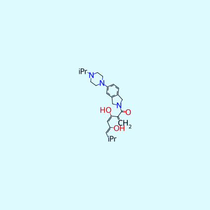 C=C(C(=O)N1Cc2ccc(N3CCN(C(C)C)CC3)cc2C1)/C(O)=C\C(O)=C\C(C)C